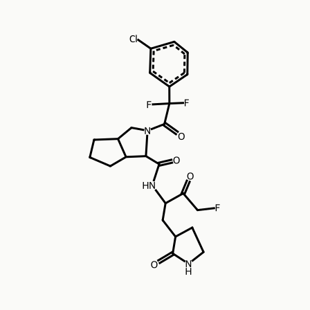 O=C1NCCC1CC(NC(=O)C1C2CCCC2CN1C(=O)C(F)(F)c1cccc(Cl)c1)C(=O)CF